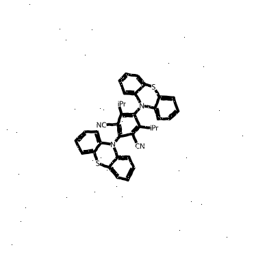 CC(C)c1c(C#N)c(N2c3ccccc3Sc3ccccc32)c(C#N)c(C(C)C)c1N1c2ccccc2Sc2ccccc21